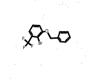 FC(F)(F)c1cccc(OCc2ccccc2)c1Br